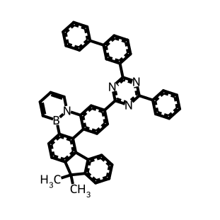 CC1(C)c2ccccc2-c2c1ccc1c2-c2ccc(-c3nc(-c4ccccc4)nc(-c4cccc(-c5ccccc5)c4)n3)cc2N2C=CC=CB12